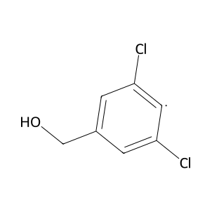 OCc1cc(Cl)[c]c(Cl)c1